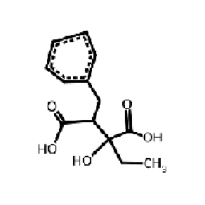 CCC(O)(C(=O)O)C(Cc1ccccc1)C(=O)O